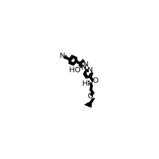 N#CC1=CCC(c2cnn(-c3ccc(C(=O)NCCCOCC4CC4)cn3)c2O)C=C1